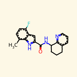 Cc1ccc(F)c2cc(C(=O)NC3CCCc4cccnc43)[nH]c12